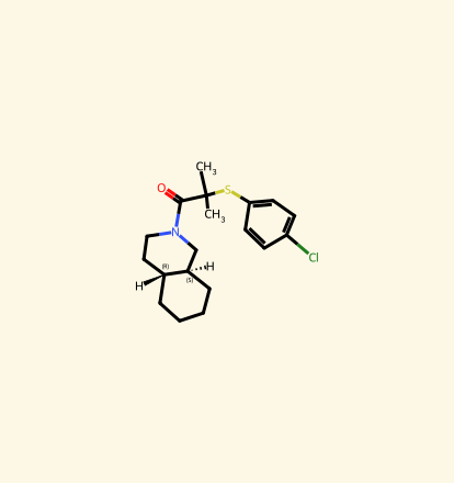 CC(C)(Sc1ccc(Cl)cc1)C(=O)N1CC[C@H]2CCCC[C@@H]2C1